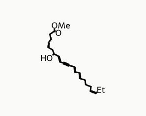 CC/C=C\CCC/C=C/C=C/C#C/C=C/C(O)C/C=C\CCC(=O)OC